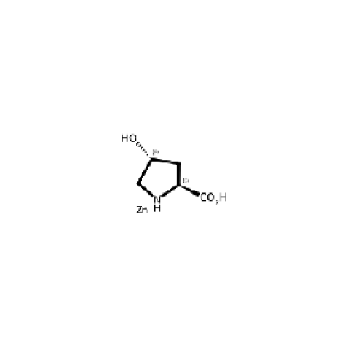 O=C(O)[C@@H]1C[C@@H](O)CN1.[Zn]